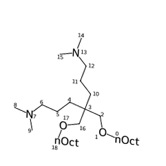 CCCCCCCCOCC(CCCN(C)C)(CCCN(C)C)COCCCCCCCC